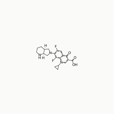 O=C(O)c1cn(C2CC2)c2c(F)c(N3C[C@@H]4CCCN[C@@H]4C3)c(F)cc2c1=O